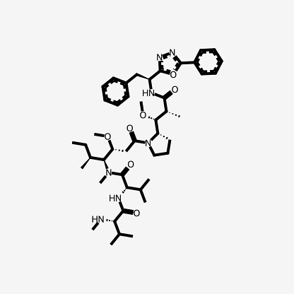 CC[C@H](C)[C@@H]([C@@H](CC(=O)N1CCC[C@H]1[C@H](OC)[C@@H](C)C(=O)N[C@@H](Cc1ccccc1)c1nnc(-c2ccccc2)o1)OC)N(C)C(=O)[C@@H](NC(=O)[C@@H](NC)C(C)C)C(C)C